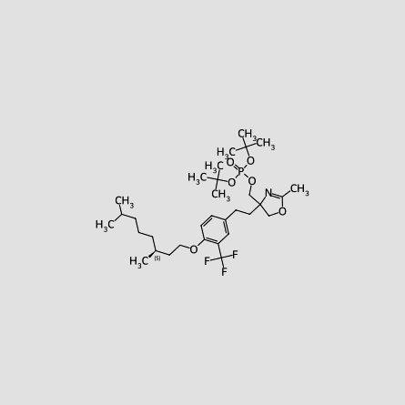 CC1=NC(CCc2ccc(OCC[C@@H](C)CCCC(C)C)c(C(F)(F)F)c2)(COP(=O)(OC(C)(C)C)OC(C)(C)C)CO1